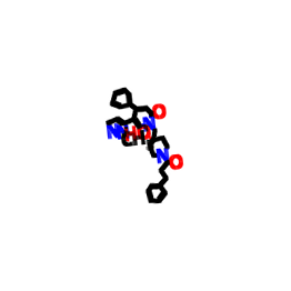 Cn1nccc1-c1cn(CC2(O)CCN(C(=O)CCc3ccccc3)CC2)c(=O)cc1-c1ccccc1